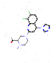 COC(=O)C1CN(c2cc(-n3ccnc3)c3ccc(Cl)c(Cl)c3n2)CCN1C